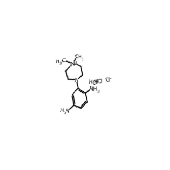 C[N+]1(C)CCN(c2cc(N)ccc2N)CC1.Cl.Cl.[Cl-]